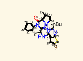 CCCCc1nc(N[C@@H](C)c2nn3ccc(C)c3c(=O)n2-c2ccccc2)c2cc(Br)sc2n1